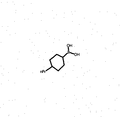 CCCC1CCC(B(O)O)CC1